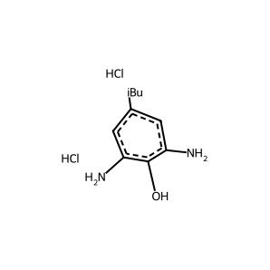 CCC(C)c1cc(N)c(O)c(N)c1.Cl.Cl